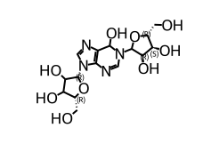 OC[C@H]1O[C@@H](n2cnc3c2N=CN(C2O[C@H](CO)[C@@H](O)[C@H]2O)C3O)C(O)C1O